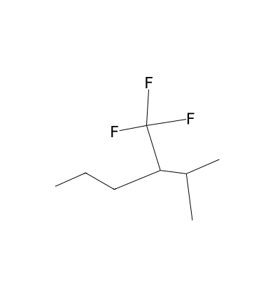 CCCC(C(C)C)C(F)(F)F